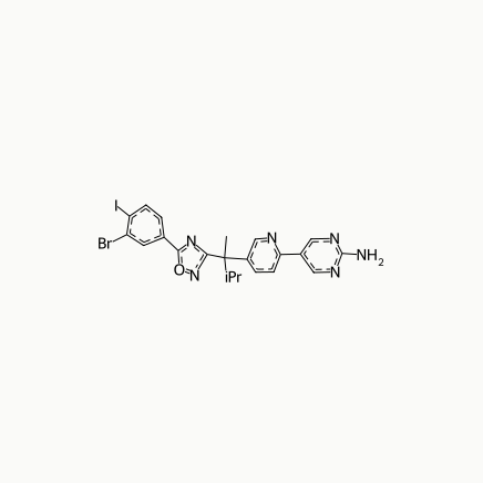 CC(C)C(C)(c1ccc(-c2cnc(N)nc2)nc1)c1noc(-c2ccc(I)c(Br)c2)n1